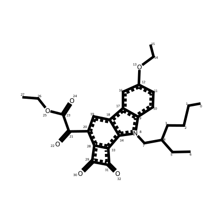 CCCCC(CC)Cn1c2ccc(OCC)cc2c2cc(C(=O)C(=O)OCC)c3c(=O)c(=O)c3c21